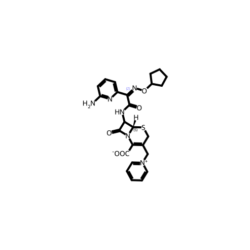 Nc1cccc(/C(=N/OC2CCCC2)C(=O)NC2C(=O)N3C(C(=O)[O-])=C(C[n+]4ccccc4)CS[C@@H]23)n1